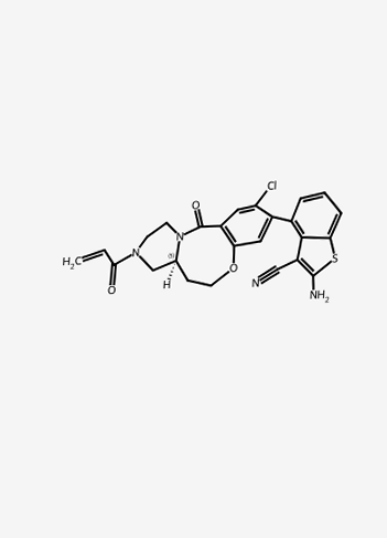 C=CC(=O)N1CCN2C(=O)c3cc(Cl)c(-c4cccc5sc(N)c(C#N)c45)cc3OCC[C@H]2C1